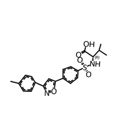 Cc1ccc(-c2cc(-c3ccc(S(=O)(=O)N[C@@H](C(=O)O)C(C)C)cc3)on2)cc1